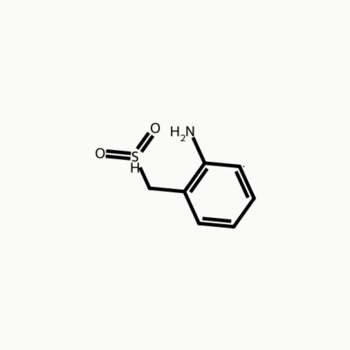 Nc1[c]cccc1C[SH](=O)=O